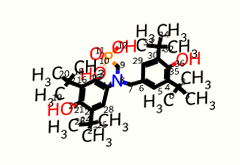 CC(C)(C)c1cc(CN(CP(=O)(O)O)c2cc(C(C)(C)C)c(O)c(C(C)(C)C)c2)cc(C(C)(C)C)c1O